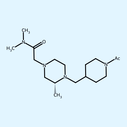 CC(=O)N1CCC(CN2CCN(CC(=O)N(C)C)C[C@H]2C)CC1